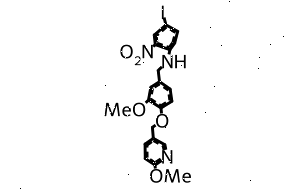 COc1ccc(COc2ccc(CNc3ccc(I)cc3[N+](=O)[O-])cc2OC)cn1